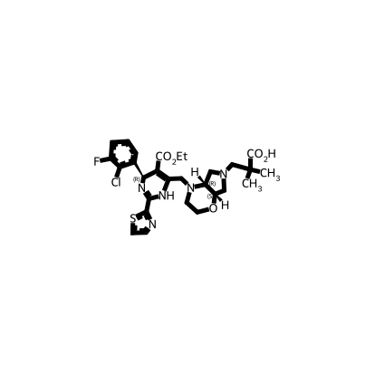 CCOC(=O)C1=C(CN2CCO[C@H]3CN(CC(C)(C)C(=O)O)C[C@H]32)NC(c2nccs2)=N[C@H]1c1cccc(F)c1Cl